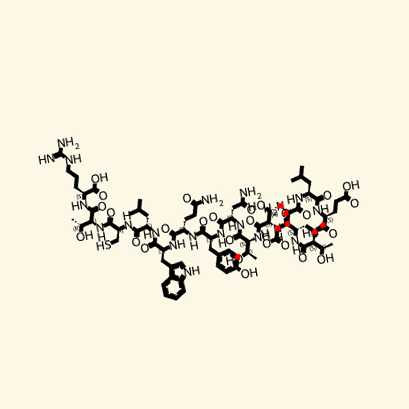 CC(C)C[C@H](NC(=O)[C@H](Cc1c[nH]c2ccccc12)NC(=O)[C@H](CCC(N)=O)NC(=O)[C@H](Cc1ccc(O)cc1)NC(=O)[C@H](CC(N)=O)NC(=O)[C@@H](NC(=O)[C@@H](NC(=O)[C@H](CC(C)C)NC(=O)[C@@H](NC(=O)[C@H](CCC(=O)O)NC(=O)[C@H](CC(C)C)NC(=O)[C@@H](N)CCC(=O)O)[C@@H](C)O)[C@@H](C)O)[C@@H](C)O)C(=O)N[C@@H](CS)C(=O)N[C@H](C(=O)N[C@@H](CCCNC(=N)N)C(=O)O)[C@@H](C)O